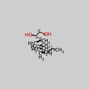 C=C.C=C.C=C.C=CC.C=CC.OCCO